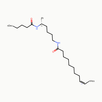 CCCCCC/C=C\CCCCCCCC(=O)NCCCC[C@H](NC(=O)CCCCCCCCCCCCC)C(C)C